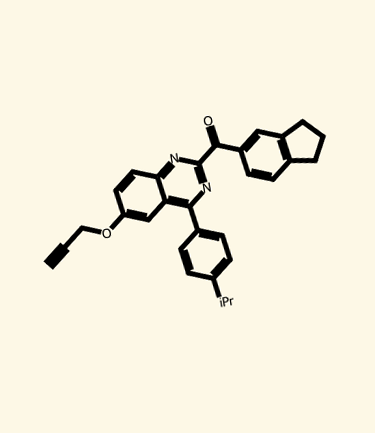 C#CCOc1ccc2nc(C(=O)c3ccc4c(c3)CCC4)nc(-c3ccc(C(C)C)cc3)c2c1